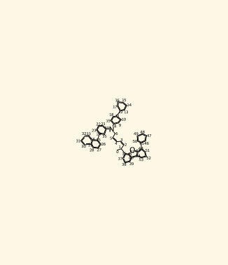 CC(/C=C\C=C/CN(c1ccc(-c2ccccc2)cc1)c1cccc(-c2cccc3ccccc23)c1)c1cccc2c1oc1c(-c3ccccc3)cccc12